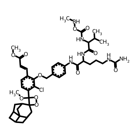 CBOC(=O)NC(C(=O)NC(CCCNC(N)=O)C(=O)Nc1ccc(COc2c(/C=C/C(=O)OC)ccc(C3(OC)OOC34C3CC5CC6CC4CC56C3)c2Cl)cc1)C(C)C